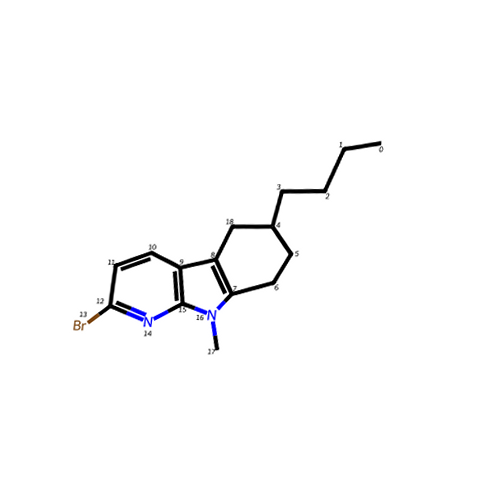 CCCCC1CCc2c(c3ccc(Br)nc3n2C)C1